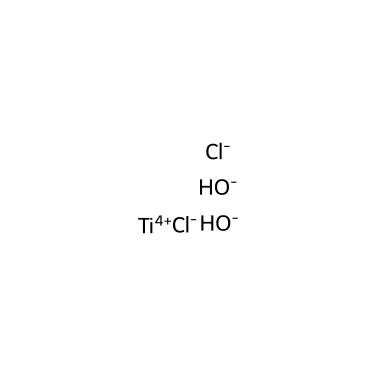 [Cl-].[Cl-].[OH-].[OH-].[Ti+4]